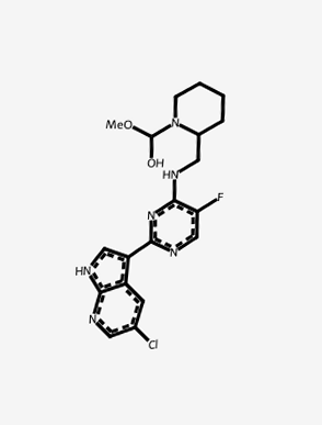 COC(O)N1CCCCC1CNc1nc(-c2c[nH]c3ncc(Cl)cc23)ncc1F